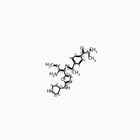 C=N/C(N)=C(\N=C(/C)c1ccc(C(=O)N(C)C)cc1)c1nnc(NC2CCNCC2)o1